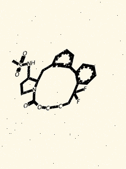 CS(=O)(=O)NC1CCN2C(=O)OCCCC(F)(F)c3ccccc3-c3cccc(c3)CC12